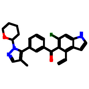 C=Cc1c(C(=O)c2cccc(-c3c(C)cnn3C3CCCCO3)c2)c(F)cc2[nH]ccc12